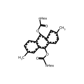 CCCCCCC(=O)Oc1c2ccc(C)cc2c(OC(=O)CCCCCC)c2ccc(C)cc12